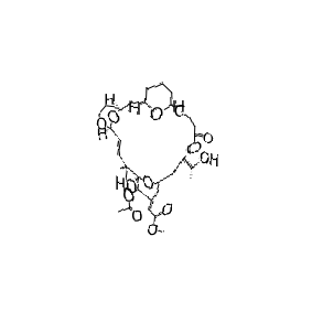 COC(=O)/C=C1\CC2CC([C@@H](C)O)OC(=O)CCC[C@@H]3CCC[C@H](C[C@@H]4CCO[C@H](/C=C/C(C)(C)[C@](O)(O2)[C@H]1OC(C)=O)O4)O3